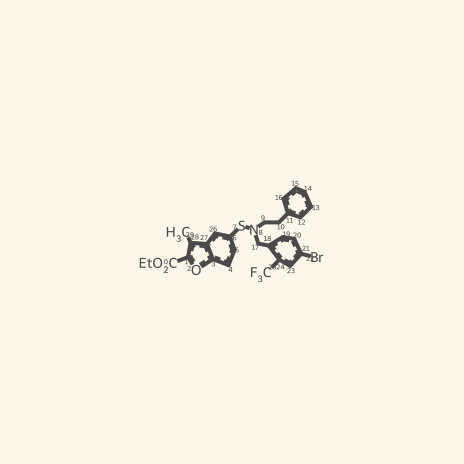 CCOC(=O)c1oc2ccc(SN(CCc3ccccc3)Cc3ccc(Br)cc3C(F)(F)F)cc2c1C